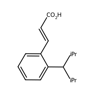 CC(C)C(c1ccccc1/C=C/C(=O)O)C(C)C